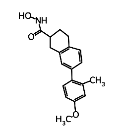 COc1ccc(-c2ccc3c(c2)CC(C(=O)NO)CC3)c(C)c1